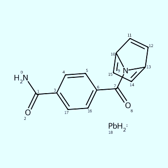 NC(=O)c1ccc(C(=O)n2c3ccc2cc3)cc1.[PbH2]